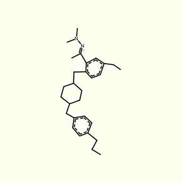 CCCc1ccc(CC2CCC(Cc3ccc(CC)cc3/C(C)=N/N(C)C)CC2)cc1